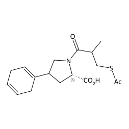 CC(=O)SCC(C)C(=O)N1CC(C2=CCC=CC2)C[C@H]1C(=O)O